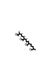 CC(C=O)CCCC(C=O)CCCC(C=O)CCCC(C)C=O